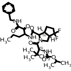 CCCC(NC(=O)C1[C@H]2CCC(F)(F)[C@H]2CN1C(=O)[C@@H](NC(=O)OC(C)C)C(C)(C)C)C(=O)C(=O)NCc1ccccc1